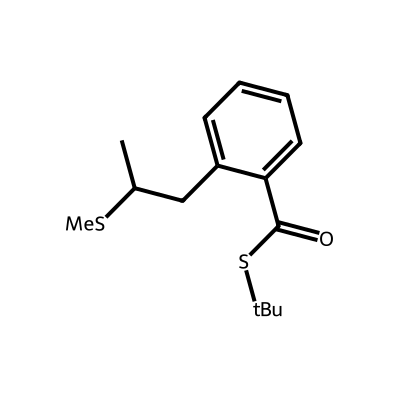 CSC(C)Cc1ccccc1C(=O)SC(C)(C)C